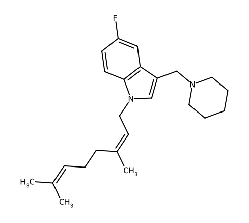 CC(C)=CCCC(C)=CCn1cc(CN2CCCCC2)c2cc(F)ccc21